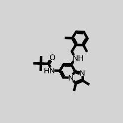 Cc1cccc(C)c1CNc1cc(NC(=O)C(C)(C)C)cn2c(C)c(C)nc12